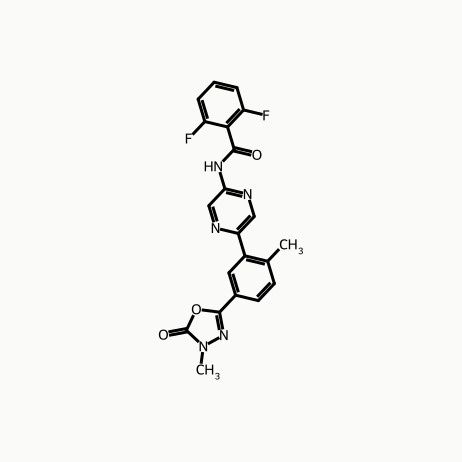 Cc1ccc(-c2nn(C)c(=O)o2)cc1-c1cnc(NC(=O)c2c(F)cccc2F)cn1